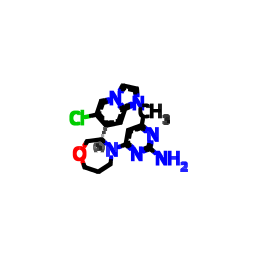 Cc1cc(N2CCCOC[C@@H]2c2cc3nccn3cc2Cl)nc(N)n1